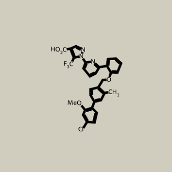 COc1cc(Cl)ccc1-c1ccc(COc2ccccc2-c2cccc(-n3ncc(C(=O)O)c3C(F)(F)F)n2)c(C)c1